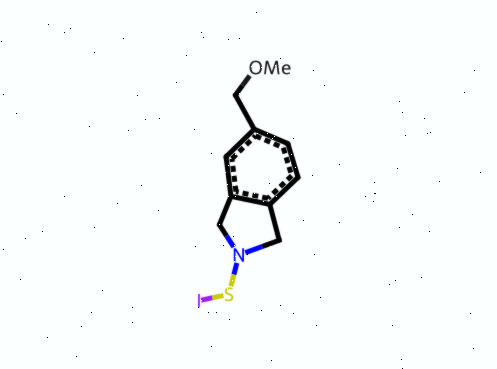 COCc1ccc2c(c1)CN(SI)C2